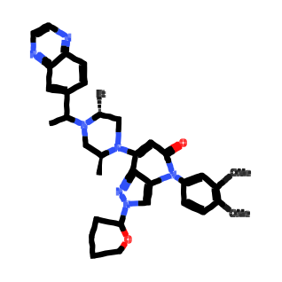 CC[C@@H]1CN(c2cc(=O)n(-c3ccc(OC)c(OC)c3)c3cn(C4CCCCO4)nc23)[C@@H](C)CN1C(C)c1ccc2nccnc2c1